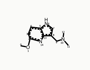 COc1ccc2[nH]cc(CN(C)C)c2n1